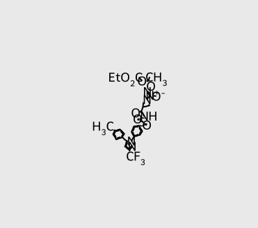 CCOC(=O)OC(C)O/N=[N+](\[O-])N1CC(C(=O)NS(=O)(=O)c2ccc(-n3nc(C(F)(F)F)cc3-c3ccc(C)cc3)cc2)C1